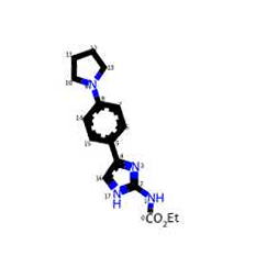 CCOC(=O)Nc1nc(-c2ccc(N3CCCC3)cc2)c[nH]1